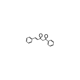 O=C(C=Cc1ccccc1)CC(=O)c1ccccc1